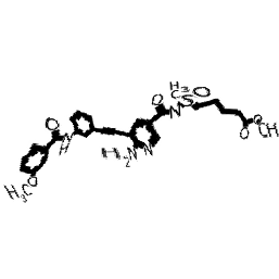 COC(=O)CCCCS(C)(=O)=NC(=O)c1cnc(N)c(C#Cc2cccc(NC(=O)c3cccc(OC)c3)c2)c1